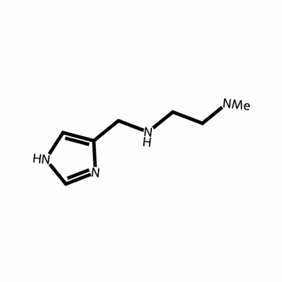 CNCCNCc1c[nH]cn1